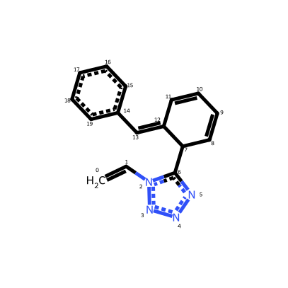 C=Cn1nnnc1C1C=CC=CC1=Cc1ccccc1